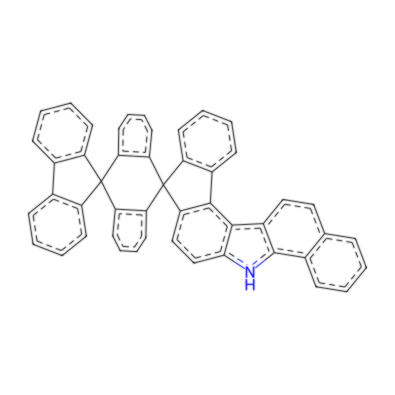 c1ccc2c(c1)-c1ccccc1C21c2ccccc2C2(c3ccccc3-c3c2ccc2[nH]c4c5ccccc5ccc4c32)c2ccccc21